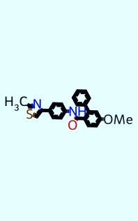 COc1ccc(C(=O)Nc2ccc(-c3csc(C)n3)cc2)c(-c2ccccc2)c1